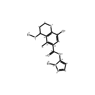 CCSC1CCSc2c(Cl)cc(C(=O)Oc3ccnn3CC)c(C)c21